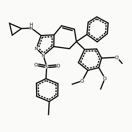 COc1cc(C2(c3ccccc3)C=Cc3c(NC4CC4)nn(S(=O)(=O)c4ccc(C)cc4)c3C2)cc(OC)c1OC